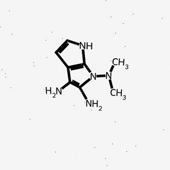 CN(C)n1c(N)c(N)c2cc[nH]c21